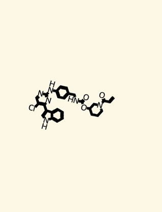 C=CC(=O)N1CCCC(OC(=O)NCc2ccc(Nc3ncc(Cl)c(-c4c[nH]c5ccccc45)n3)cc2)C1